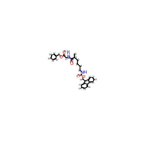 CC(CCCCNC(=O)OCC1c2ccccc2-c2ccccc21)C(=O)NCC(=O)OCc1ccccc1